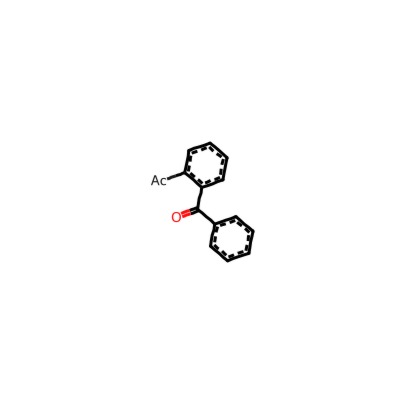 CC(=O)c1ccccc1C(=O)c1ccccc1